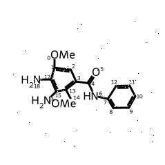 COc1cc(C(=O)Nc2ccccc2)c(OC)c(N)c1N